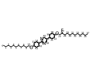 CCCCCCCCCCCOc1ccc(-c2ncc(-c3ccc(OCC(F)CCCCCCCCCC)cc3)cn2)cc1